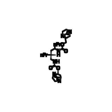 CCCC(CC(C)(CCC)CNC(=O)OC1CCN2CCN1CC2)NC(=O)OCC1CN2CCN1CC2